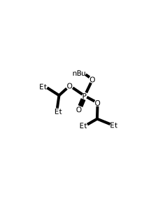 CCCCOP(=O)(OC(CC)CC)OC(CC)CC